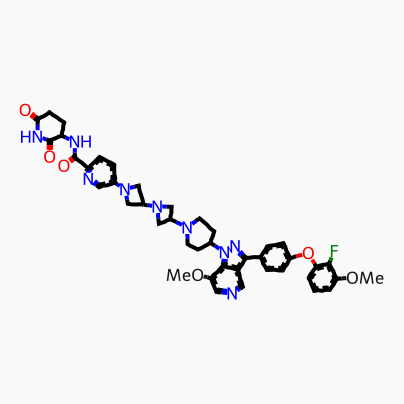 COc1cccc(Oc2ccc(-c3nn(C4CCN(C5CN(C6CN(c7ccc(C(=O)NC8CCC(=O)NC8=O)nc7)C6)C5)CC4)c4c(OC)cncc34)cc2)c1F